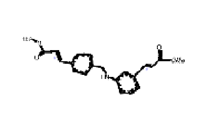 COC(=O)/C=C/c1cccc(NCc2ccc(/C=C/C(=O)OC(C)(C)C)cc2)c1